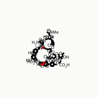 CN[C@H](CC(C)C)C(=O)NC1C(=O)N[C@@H](CC(N)=O)C(=O)N[C@H]2C(=O)N[C@@H](C)c3ccc(O)c(c3)-c3c(O)cc(O)cc3[C@H](C(=O)O)NC(=O)[C@@H](NC=O)[C@H](O)c3ccc(c(Cl)c3)Oc3cc2cc(c3OC2OC(CO)C(O)C(O)C2OC2CC(C)(NCC(OCc3ccc(-c4ccc(Cl)cc4)cc3)C(=O)O)C(O)C(C)O2)Oc2ccc(cc2Cl)[C@H]1O